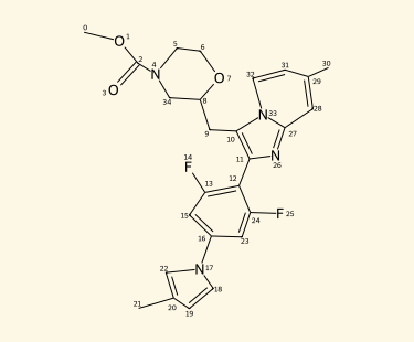 COC(=O)N1CCOC(Cc2c(-c3c(F)cc(-n4ccc(C)c4)cc3F)nc3cc(C)ccn23)C1